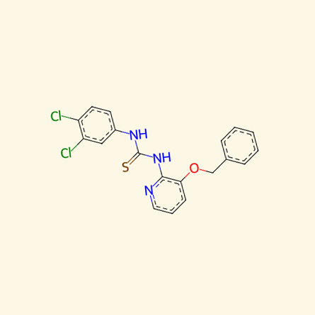 S=C(Nc1ccc(Cl)c(Cl)c1)Nc1ncccc1OCc1ccccc1